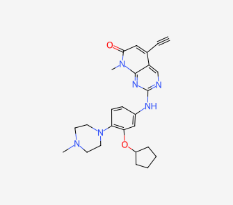 C#Cc1cc(=O)n(C)c2nc(Nc3ccc(N4CCN(C)CC4)c(OC4CCCC4)c3)ncc12